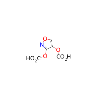 O=C(O)Oc1conc1OC(=O)O